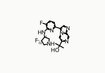 CC(C)(O)c1cn2c(-c3ccc(F)c(N[C@H]4CNC[C@@H]4F)n3)cnc2cn1